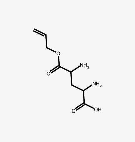 C=CCOC(=O)C(N)CC(N)C(=O)O